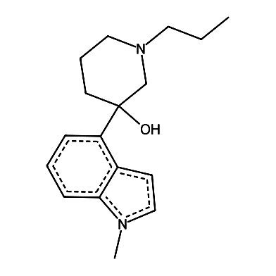 CCCN1CCCC(O)(c2cccc3c2ccn3C)C1